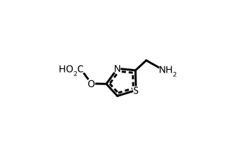 NCc1nc(OC(=O)O)cs1